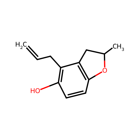 C=CCc1c(O)ccc2c1CC(C)O2